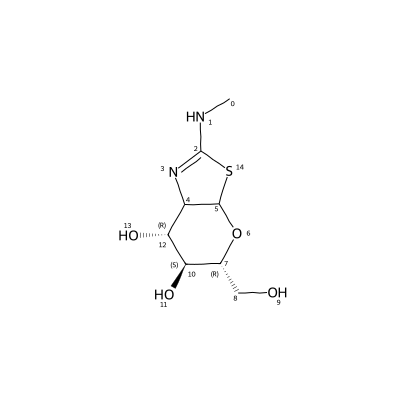 CNC1=NC2C(O[C@H](CO)[C@@H](O)[C@@H]2O)S1